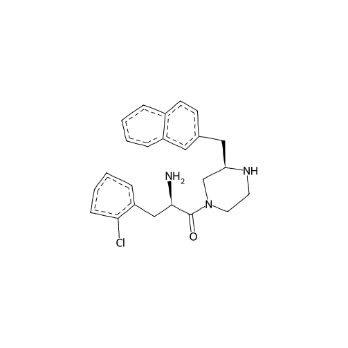 N[C@H](Cc1ccccc1Cl)C(=O)N1CCN[C@H](Cc2ccc3ccccc3c2)C1